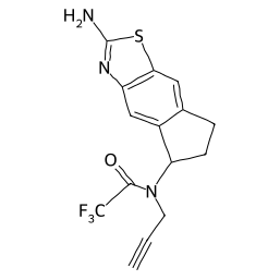 C#CCN(C(=O)C(F)(F)F)C1CCc2cc3sc(N)nc3cc21